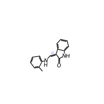 Cc1ccccc1N/C=C1\C(=O)Nc2ccccc21